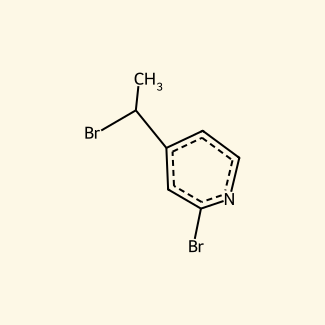 CC(Br)c1ccnc(Br)c1